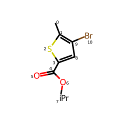 Cc1sc(C(=O)OC(C)C)cc1Br